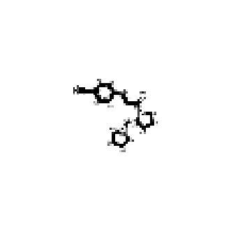 N#Cc1ccc(C=CC(=O)N2CCC[C@H]2CN2CCCC2)cc1